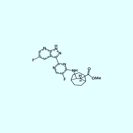 COC(=O)[C@@H]1C2CCCC(CC2)C1Nc1nc(-c2n[nH]c3ncc(F)cc23)ncc1F